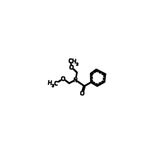 COCN(COC)C(=O)c1ccccc1